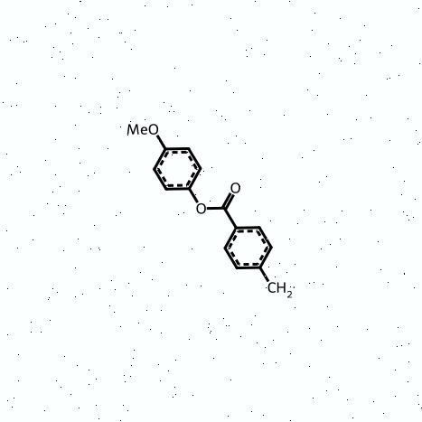 [CH2]c1ccc(C(=O)Oc2ccc(OC)cc2)cc1